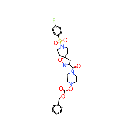 O=C(OCc1ccccc1)ON1CCN(C(=O)C2=NOC3(CCN(S(=O)(=O)c4ccc(F)cc4)CC3)C2)CC1